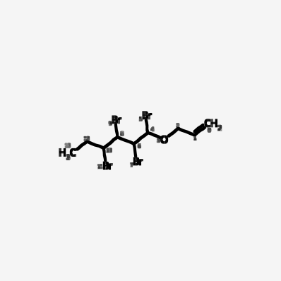 C=CCOC(Br)C(Br)C(Br)C(Br)CC